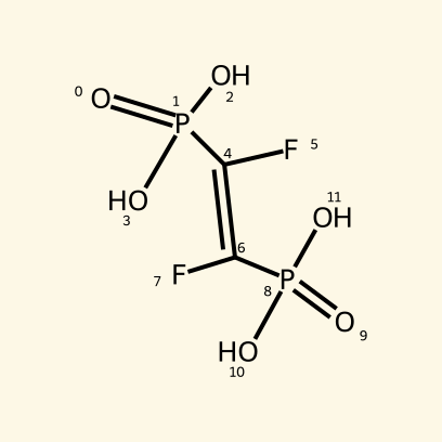 O=P(O)(O)C(F)=C(F)P(=O)(O)O